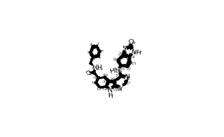 O=C(NCc1ccccc1)C1CCc2[nH]c3ncnc(Nc4ccc5[nH]c(=O)sc5c4)c3c2C1